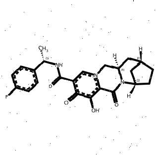 C[C@H](NC(=O)c1cn2c(c(O)c1=O)C(=O)N1[C@H](C[C@@H]3CC[C@H]1C3)C2)c1ccc(F)cc1